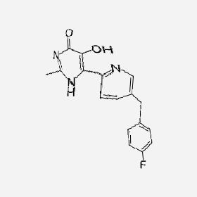 Cc1nc(=O)c(O)c(-c2ccc(Cc3ccc(F)cc3)cn2)[nH]1